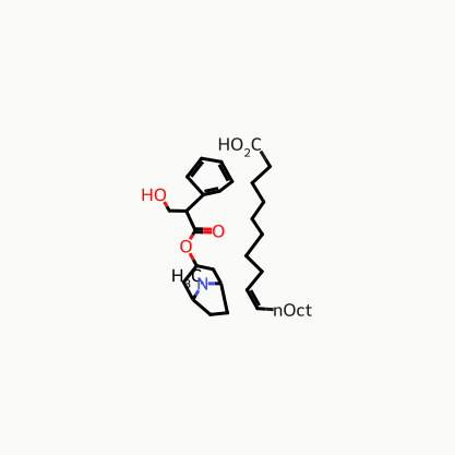 CCCCCCCC/C=C\CCCCCCCC(=O)O.CN1C2CCC1CC(OC(=O)C(CO)c1ccccc1)C2